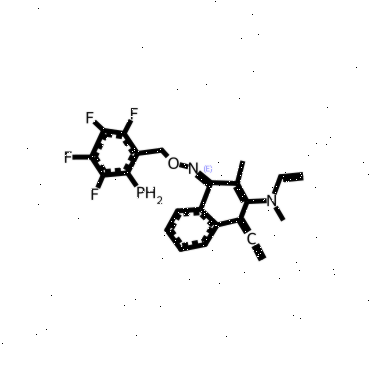 C=C=C1C(N(C)C=C)=C(C)/C(=N/OCc2c(F)c(F)c(F)c(F)c2P)c2ccccc21